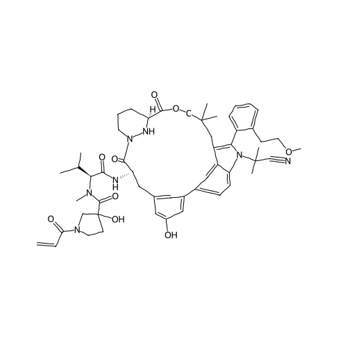 C=CC(=O)N1CCC(O)(C(=O)N(C)[C@H](C(=O)N[C@H]2Cc3cc(O)cc(c3)-c3ccc4c(c3)c(c(-c3ccccc3CCOC)n4C(C)(C)C#N)CC(C)(C)COC(=O)[C@@H]3CCCN(N3)C2=O)C(C)C)C1